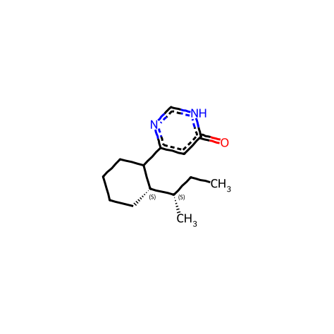 CC[C@H](C)[C@@H]1CCCCC1c1cc(=O)[nH]cn1